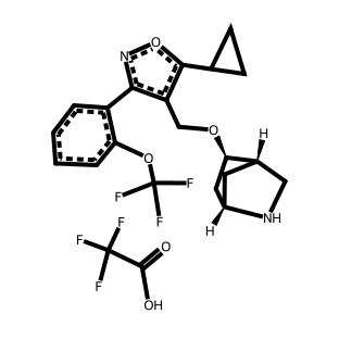 FC(F)(F)Oc1ccccc1-c1noc(C2CC2)c1CO[C@@H]1C[C@@H]2C[C@H]1CN2.O=C(O)C(F)(F)F